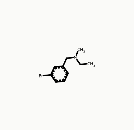 CCN(C)Cc1cccc(Br)c1